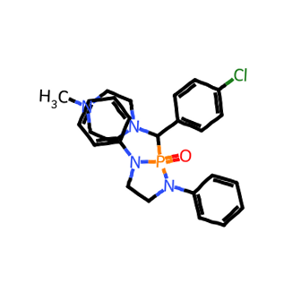 CN1CCN(C(c2ccc(Cl)cc2)P2(=O)N(c3ccccc3)CCN2c2ccccc2)CC1